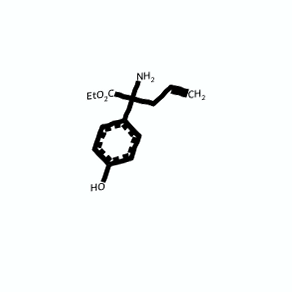 C=CCC(N)(C(=O)OCC)c1ccc(O)cc1